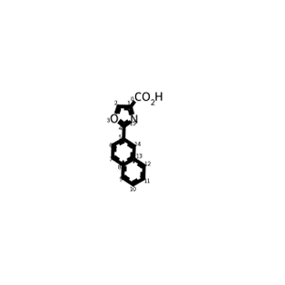 O=C(O)c1coc(-c2ccc3ccccc3c2)n1